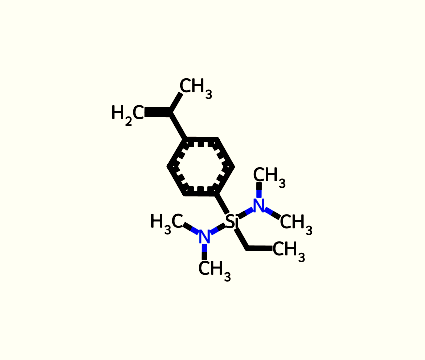 C=C(C)c1ccc([Si](CC)(N(C)C)N(C)C)cc1